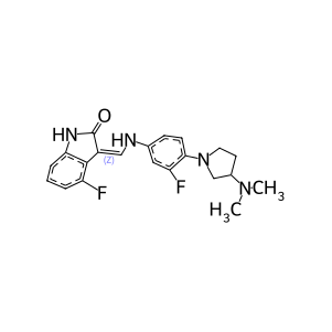 CN(C)C1CCN(c2ccc(N/C=C3\C(=O)Nc4cccc(F)c43)cc2F)C1